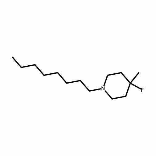 CCCCCCCCN1CCC(C)(F)CC1